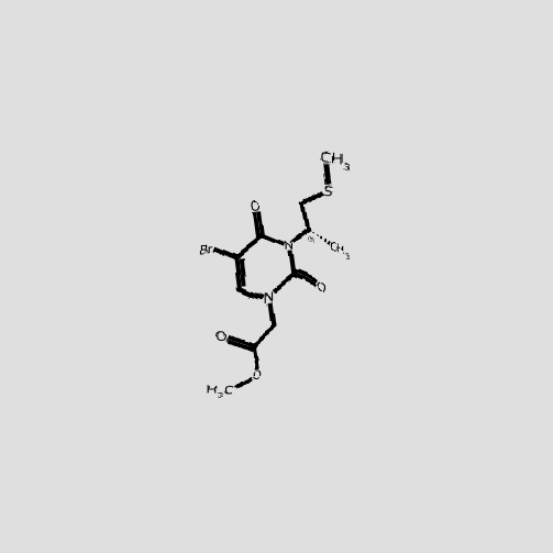 COC(=O)Cn1cc(Br)c(=O)n([C@@H](C)CSC)c1=O